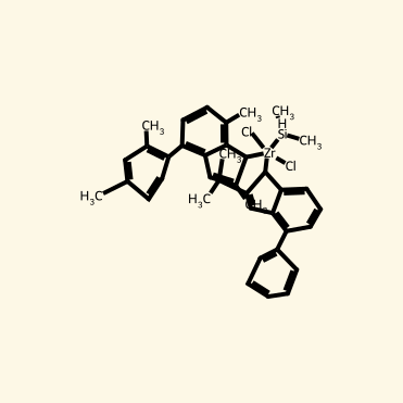 CC1=Cc2c(-c3ccc(C)cc3C)ccc(C)c2[CH]1[Zr]([Cl])([Cl])([CH]1C(C(C)C)=Cc2c(-c3ccccc3)cccc21)[SiH](C)C